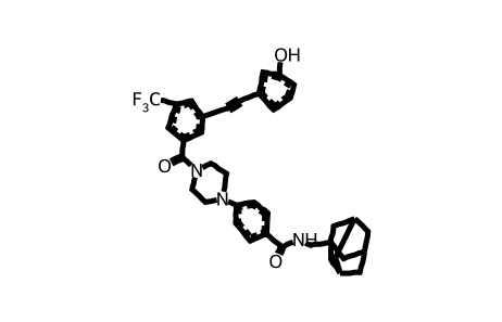 O=C(NCC12CC3CC(CC(C3)C1)C2)c1ccc(N2CCN(C(=O)c3cc(C#Cc4cccc(O)c4)cc(C(F)(F)F)c3)CC2)cc1